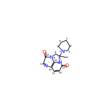 CC1(N2CCCCC2)Cn2c(=O)cnc3ccc(=O)n1c32